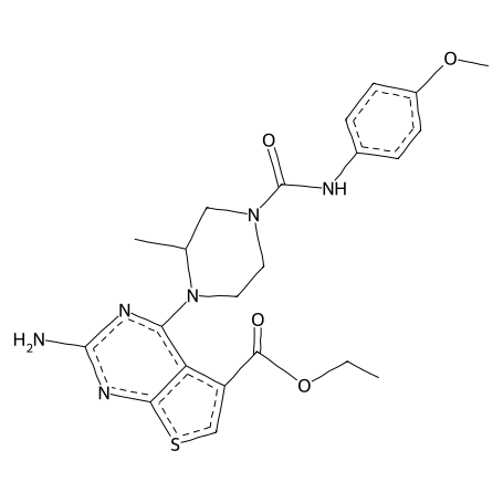 CCOC(=O)c1csc2nc(N)nc(N3CCN(C(=O)Nc4ccc(OC)cc4)CC3C)c12